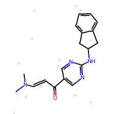 CN(C)/C=C/C(=O)c1cnc(NC2Cc3ccccc3C2)nc1